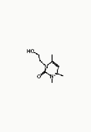 Cc1cc(C)[n+](C)c(=O)n1CCO